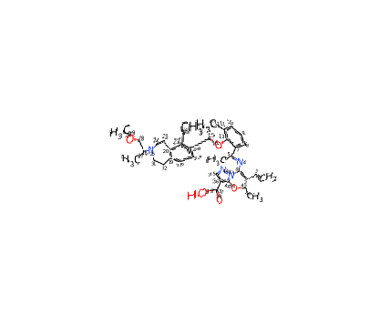 C=C/C=C(\N=C(/C)c1cccc(C)c1OCc1ccc2c(c1C)CCN(C(C)COC)CC2)n1ncc(C(=O)O)c1OCC